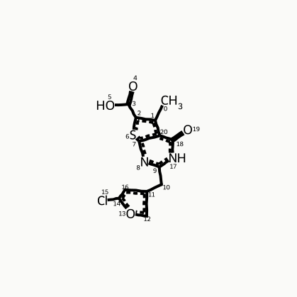 Cc1c(C(=O)O)sc2nc(Cc3coc(Cl)c3)[nH]c(=O)c12